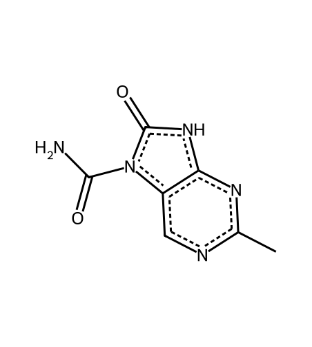 Cc1ncc2c(n1)[nH]c(=O)n2C(N)=O